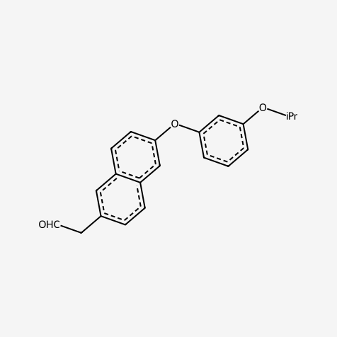 CC(C)Oc1cccc(Oc2ccc3cc(CC=O)ccc3c2)c1